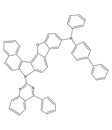 c1ccc(-c2ccc(N(c3ccccc3)c3ccc4oc5c(ccc6c5c5c7ccccc7ccc5n6-c5nc(-c6ccccc6)c6ccccc6n5)c4c3)cc2)cc1